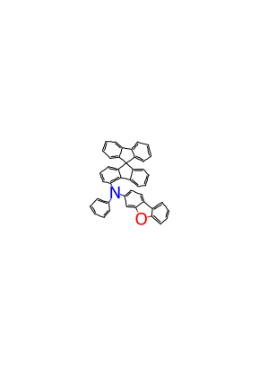 c1ccc(N(c2ccc3c(c2)oc2ccccc23)c2cccc3c2-c2ccccc2C32c3ccccc3-c3ccccc32)cc1